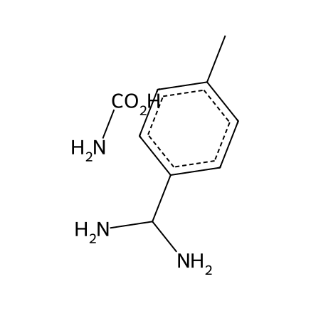 Cc1ccc(C(N)N)cc1.NC(=O)O